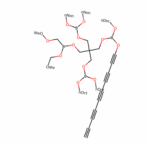 C#CC#CC#CC#CC#COB(OCCCCCCCCCC)OCC(COB(COOC)OCOC)(COB(OCCCCCCCC)OCCCCCCCC)COB(OCCCCCCCCC)OCCCCCCCCC